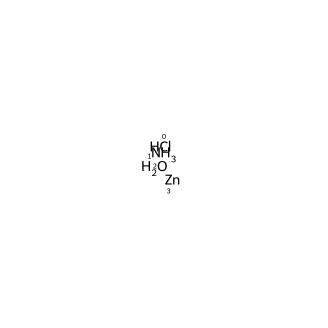 Cl.N.O.[Zn]